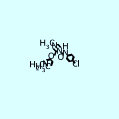 C=N/C=C(\C=C/C)OCC1CN(C)CCN1C(=O)Nc1ccc(Cl)cc1